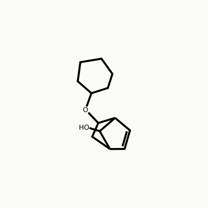 OC1C2C=CC1C(OC1CCCCC1)C2